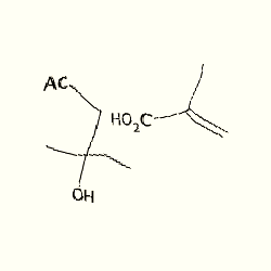 C=C(C)C(=O)O.CC(=O)CC(C)(C)O